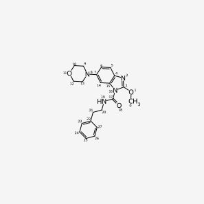 COc1nc2ccc(N3CCOCC3)cc2n1C(=O)NCCc1ccccc1